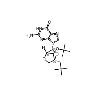 CC(C)(C)C[C@]12CO[C@@H](C1OC(C)(C)C)[C@H](n1cnc3c(=O)[nH]c(N)nc31)O2